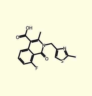 Cc1nc(Cn2c(C)c(C(=O)O)c3cccc(F)c3c2=O)cs1